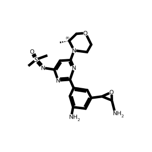 C[C@@H]1COCCN1c1cc(N=S(C)(C)=O)nc(-c2cc(N)cc(C3OC3N)c2)n1